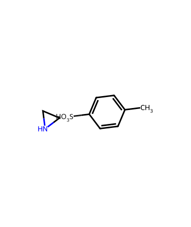 C1CN1.Cc1ccc(S(=O)(=O)O)cc1